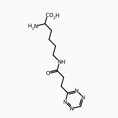 NC(CCCCNC(=O)CCc1nncnn1)C(=O)O